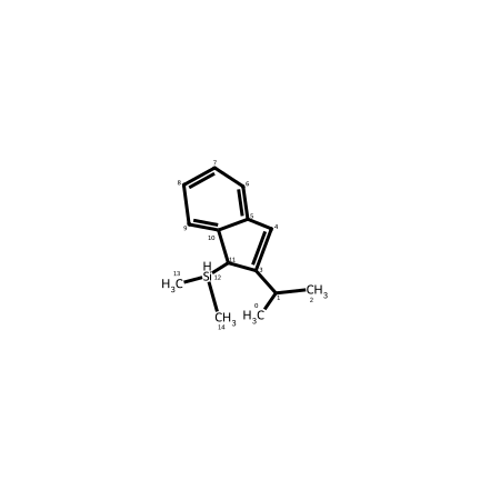 CC(C)C1=Cc2ccccc2C1[SiH](C)C